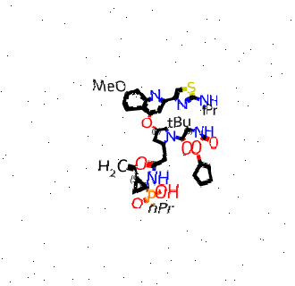 C=C[C@@H]1C[C@]1(NC(=O)CC1C[C@@H](Oc2cc(-c3csc(NC(C)C)n3)nc3cc(OC)ccc23)CN1C(=O)[C@@H](NC(=O)OC1CCCC1)C(C)(C)C)P(=O)(O)CCC